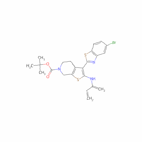 C=CC(=C)Nc1sc2c(c1-c1nc3cc(Br)ccc3s1)CCN(C(=O)OC(C)(C)C)C2